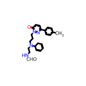 Cc1ccc(-c2ccc(=O)n(CCCN(CCNC=O)C3C=CC=CC3)n2)cc1